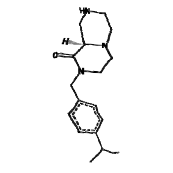 CC(C)c1ccc(CN2CCN3CCNC[C@@H]3C2=O)cc1